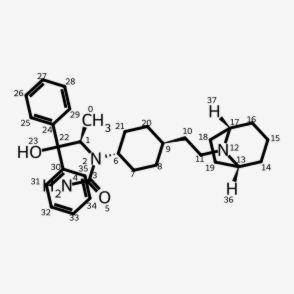 C[C@@H](N(C(N)=O)[C@H]1CC[C@H](CCN2[C@@H]3CCC[C@H]2CC3)CC1)C(O)(c1ccccc1)c1ccccc1